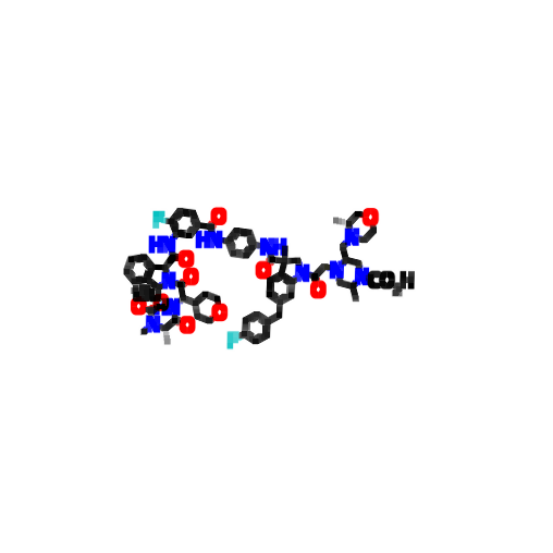 CC1CN(CC(=O)N2CC(C)(C(=O)Nc3ccc(NC(=O)c4ccc(F)c(NC(=O)[C@@H]5c6ccccc6CN5C(=O)[C@@H](NC(=O)[C@H](C)N(C)C(=O)OC(C)(C)C)C5CCOCC5)c4)cc3)c3ccc(Cc4ccc(F)cc4)cc32)C(CN2CCOC[C@H]2C)CN1C(=O)O